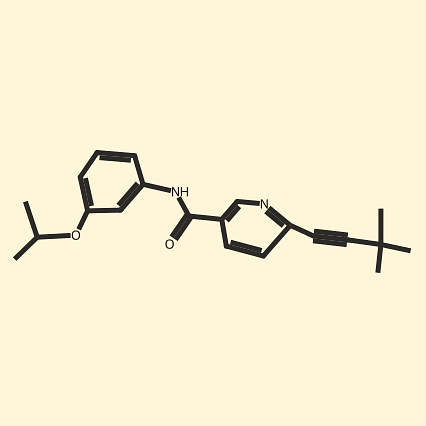 CC(C)Oc1cccc(NC(=O)c2ccc(C#CC(C)(C)C)nc2)c1